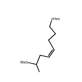 CCCCCCCCC/C=C\CC(C)SC